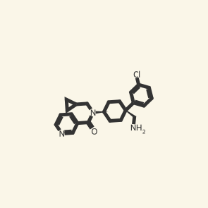 NC[C@]1(c2cccc(Cl)c2)CC[C@H](N(CC2CC2)C(=O)c2cccnc2)CC1